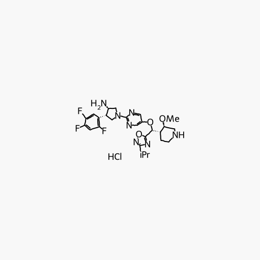 CO[C@H]1CNCC[C@@H]1C(Oc1cnc(N2C[C@H](c3cc(F)c(F)cc3F)[C@@H](N)C2)nc1)c1nc(C(C)C)no1.Cl